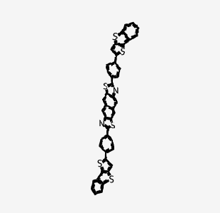 c1ccc2c(c1)sc1cc(-c3ccc(-c4nc5cc6cc7sc(-c8ccc(-c9cc%10sc%11ccccc%11c%10s9)cc8)nc7cc6cc5s4)cc3)sc12